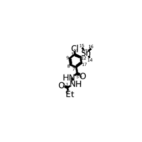 CCC(=O)NNC(=O)c1ccc(Cl)[c]([Sn]([CH3])([CH3])[CH3])c1